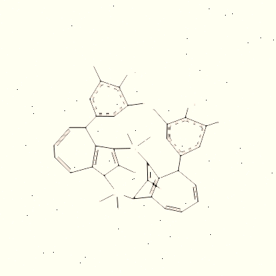 CCC1=C2C3=C(C=CC=CC3c3cc(F)c(C(C)(C)C)c(Cl)c3)[CH]1[Hf]([Cl])([Cl])[CH]1C3=C(C(=C1CC)[Si]2(C)C)C(c1cc(F)c(C(C)(C)C)c(Cl)c1)C=CC=C3